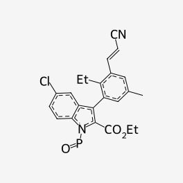 CCOC(=O)c1c(-c2cc(C)cc(C=CC#N)c2CC)c2cc(Cl)ccc2n1P=O